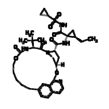 CC[C@@H]1C[C@]1(NC(=O)[C@@H]1C[C@@H]2CN1C(=O)[C@H](C(C)(C)C)NC(=O)OCCCCCc1ccc3ccnc(c3c1)O2)C(=O)NS(=O)(=O)C1CC1